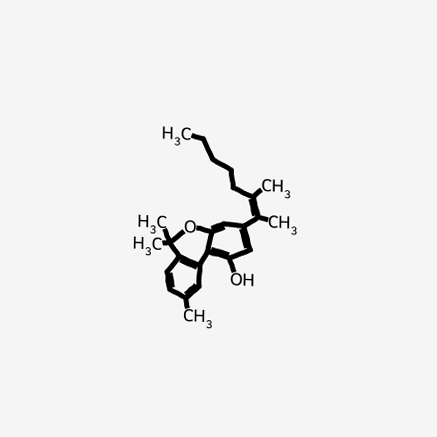 CCCCCC(C)=C(C)c1cc(O)c2c(c1)OC(C)(C)c1ccc(C)cc1-2